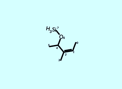 CC=C(C)C(C)O[SiH3]